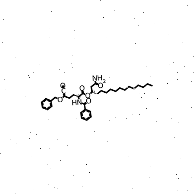 CCCCCCCCCCCCC[C@@H](CC(N)=O)OC(=O)[C@H](CCC(=C=O)OCc1ccccc1)NC(=O)c1ccccc1